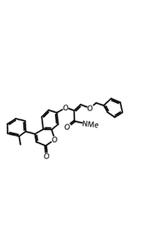 CNC(=O)C(=COCc1ccccc1)Oc1ccc2c(-c3ccccc3C)cc(=O)oc2c1